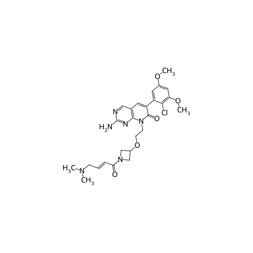 COc1cc(OC)c(Cl)c(-c2cc3cnc(N)nc3n(CCOC3CN(C(=O)/C=C/CN(C)C)C3)c2=O)c1